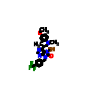 COc1ccc(N(C)CC(C)c2ncnc3c2n(S)c(=O)n3Cc2ccc(C(F)(F)F)cc2)cc1